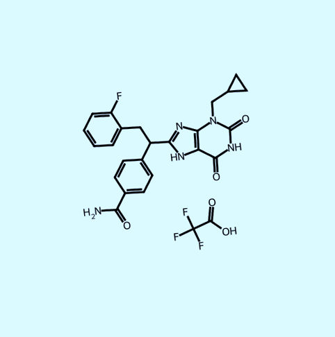 NC(=O)c1ccc(C(Cc2ccccc2F)c2nc3c([nH]2)c(=O)[nH]c(=O)n3CC2CC2)cc1.O=C(O)C(F)(F)F